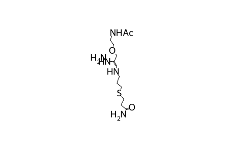 CC(=O)NCCOC/C(=C/NCCCSCCC(N)=O)NN